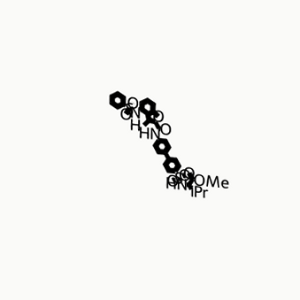 COC(=O)C(NS(=O)(=O)c1ccc(-c2ccc(NC(=O)c3oc4cccc(NS(=O)(=O)c5ccccc5)c4c3C)cc2)cc1)C(C)C